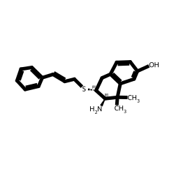 CC1(C)c2cc(O)ccc2C[C@@H](SCC=Cc2ccccc2)[C@@H]1N